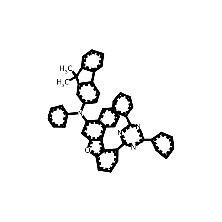 CC1(C)c2ccccc2-c2ccc(N(c3ccccc3)c3cc4oc5cccc(-c6nc(-c7ccccc7)nc(-c7ccccc7)n6)c5c4c4ccccc34)cc21